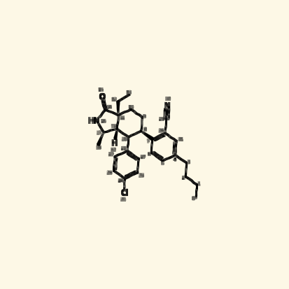 CCCCc1ccc([C@@H]2CC[C@@]3(CC)C(=O)N[C@H](C)[C@H]3C2c2ccc(Cl)cc2)c(C#N)c1